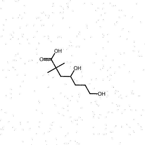 CC(C)(CC(O)CCCO)C(=O)O